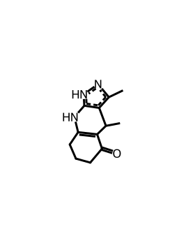 Cc1n[nH]c2c1C(C)C1=C(CCCC1=O)N2